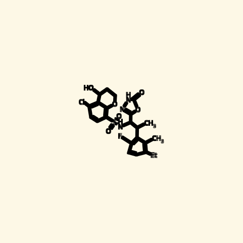 CCc1ccc(F)c(C(C)C(NS(=O)(=O)c2ccc(Cl)c3c2OCCC3O)c2n[nH]c(=O)o2)c1C